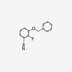 N#Cc1cccc(OCc2ccccc2)c1F